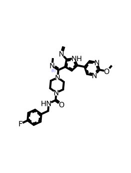 C=Nc1[nH]c(-c2cnc(OC)nc2)cc1/C(=N\C)N1CCN(C(=O)NCc2ccc(F)cc2)CC1